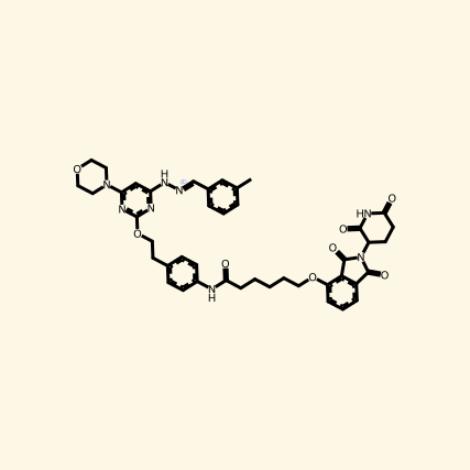 Cc1cccc(/C=N/Nc2cc(N3CCOCC3)nc(OCCc3ccc(NC(=O)CCCCCOc4cccc5c4C(=O)N(C4CCC(=O)NC4=O)C5=O)cc3)n2)c1